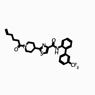 C=CCCCC(=O)N1CCC(c2nc(C(=O)Nc3ccccc3-c3cccc(C(F)(F)F)c3)cs2)CC1